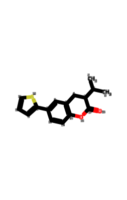 CC(C)C1Cc2cc(-c3cccs3)ccc2OC1=O